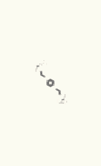 N#CNC(=N)NCCCOc1ccc(OCCCNC(=N)NC#N)cc1